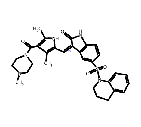 Cc1[nH]c(/C=C2\C(=O)Nc3ccc(S(=O)(=O)N4CCCc5ccccc54)cc32)c(C)c1C(=O)N1CCN(C)CC1